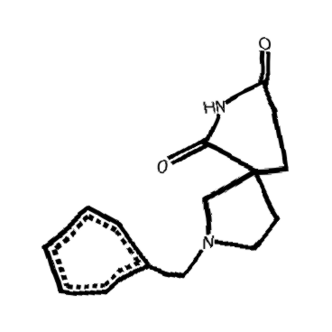 O=C1CCC2(CCN(Cc3ccccc3)C2)C(=O)N1